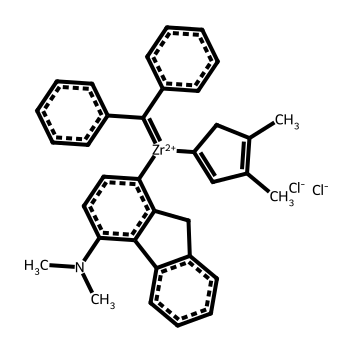 CC1=C(C)C[C]([Zr+2](=[C](c2ccccc2)c2ccccc2)[c]2ccc(N(C)C)c3c2Cc2ccccc2-3)=C1.[Cl-].[Cl-]